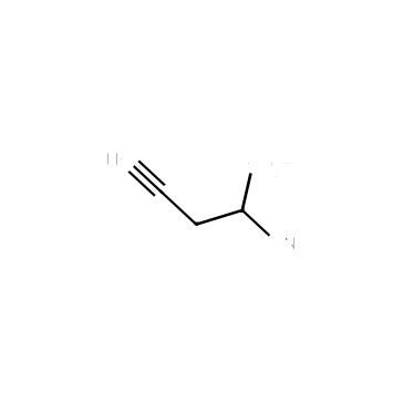 C#CCC(C#N)C(=O)O